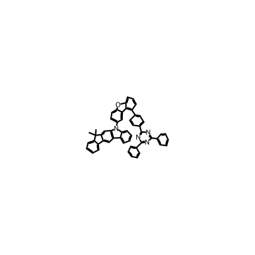 CC1(C)c2ccccc2-c2cc3c4ccccc4n(-c4ccc5oc6cccc(-c7ccc(-c8nc(-c9ccccc9)nc(-c9ccccc9)n8)cc7)c6c5c4)c3cc21